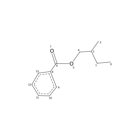 CCC(C)COC(=O)c1ccccc1